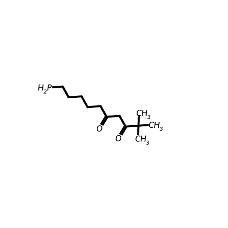 CC(C)(C)C(=O)CC(=O)CCCCCP